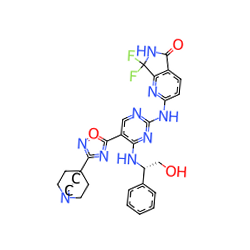 O=C1NC(F)(F)c2nc(Nc3ncc(-c4nc(C56CCN(CC5)CC6)no4)c(N[C@H](CO)c4ccccc4)n3)ccc21